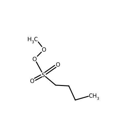 CCCCS(=O)(=O)OOC